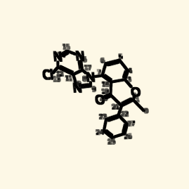 Cc1oc2cccc(-n3cnc4c(Cl)ncnc43)c2c(=O)c1-c1ccccc1